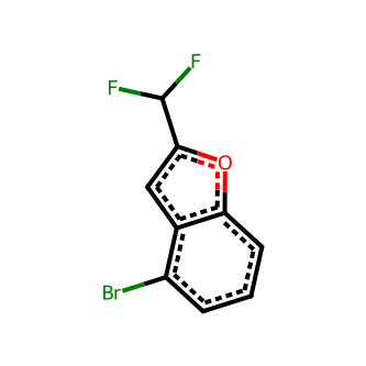 FC(F)c1cc2c(Br)cccc2o1